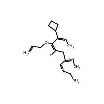 C=CCOC(/C(=C\C)C1CCC1)=C(\F)CC(/C=N\CN)=N/C